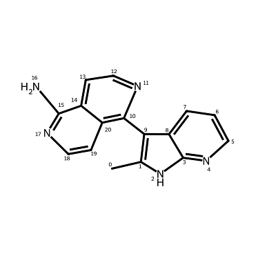 Cc1[nH]c2ncccc2c1-c1nccc2c(N)nccc12